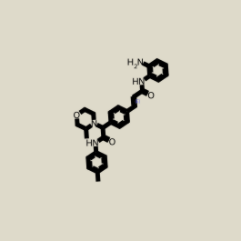 Cc1ccc(NC(=O)C(c2ccc(/C=C/C(=O)Nc3ccccc3N)cc2)N2CCOCC2C)cc1